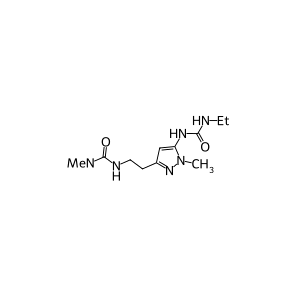 CCNC(=O)Nc1cc(CCNC(=O)NC)nn1C